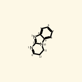 C1=Nc2nc3ccccc3n2CC1